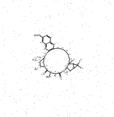 COc1ccc2nc3c(nc2c1)O[C@H]1CN(C(=O)[C@H](C(C)(C)C)NC(=O)O[C@@H]2CC4C([C@H]2CCCCC3)C4(F)F)[C@H](C(C)=O)[C@@H]1C